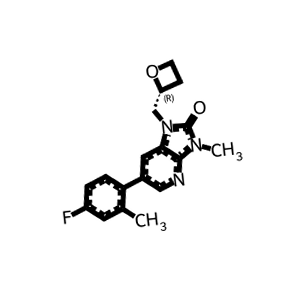 Cc1cc(F)ccc1-c1cnc2c(c1)n(C[C@H]1CCO1)c(=O)n2C